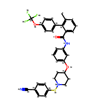 Cc1cccc(C(=O)Nc2cccc(OC3CCN(Sc4ccc(C#N)cc4)CC3)c2)c1-c1ccc(OC(F)(F)F)cc1